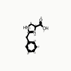 O=C(O)C1CNC(Cc2ccccc2)=N1